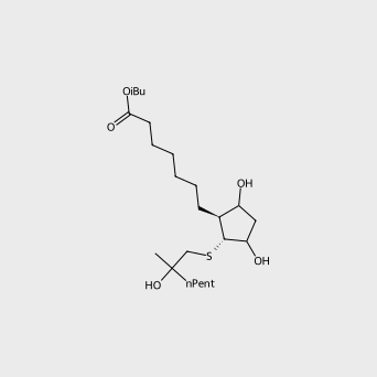 CCCCCC(C)(O)CS[C@H]1C(O)CC(O)[C@@H]1CCCCCCC(=O)OCC(C)C